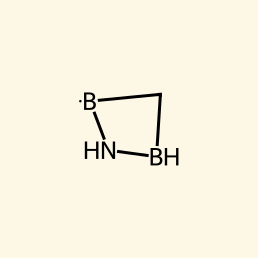 [B]1CBN1